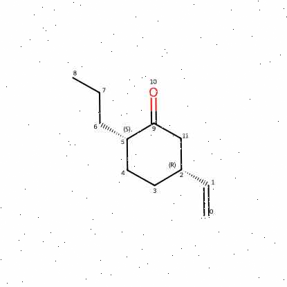 C=C[C@@H]1CC[C@H](CCC)C(=O)C1